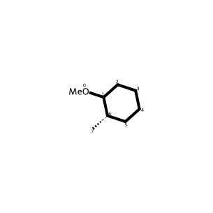 COC1CCCC[C@@H]1C